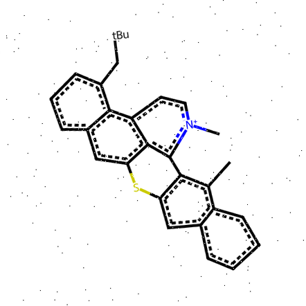 Cc1c2c(cc3ccccc13)Sc1cc3cccc(CC(C)(C)C)c3c3cc[n+](C)c-2c13